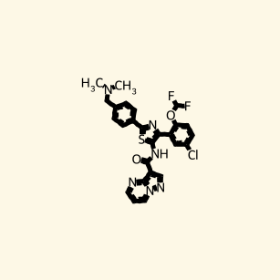 CN(C)Cc1ccc(-c2nc(-c3cc(Cl)ccc3OC(F)F)c(NC(=O)c3cnn4cccnc34)s2)cc1